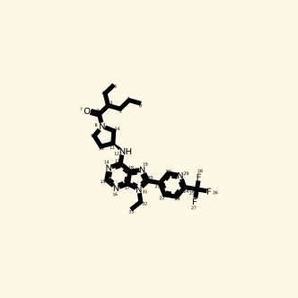 CCCC(CC)C(=O)N1CC[C@H](Nc2ncnc3c2nc(-c2ccc(C(F)(F)F)nc2)n3CC)C1